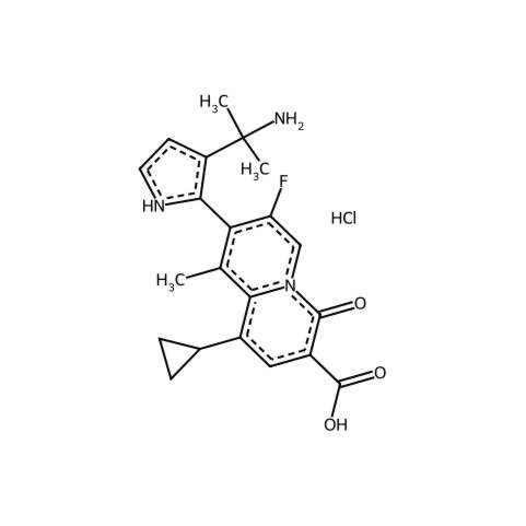 Cc1c(-c2[nH]ccc2C(C)(C)N)c(F)cn2c(=O)c(C(=O)O)cc(C3CC3)c12.Cl